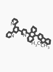 CC1(C)c2ccccc2-c2ccc(-c3c4ccccc4c(-c4ccc(-c5cc(-c6ccccn6)cc(-c6ccccn6)c5)cn4)c4ccccc34)cc21